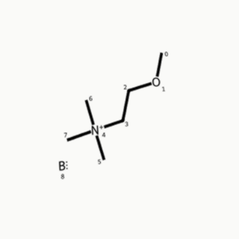 COCC[N+](C)(C)C.[B]